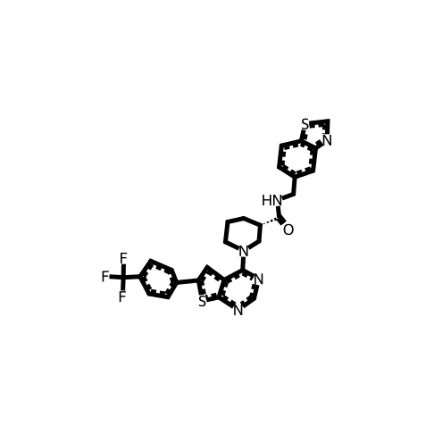 O=C(NCc1ccc2scnc2c1)[C@H]1CCCN(c2ncnc3sc(-c4ccc(C(F)(F)F)cc4)cc23)C1